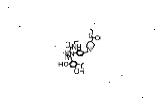 CCNC(=O)c1nnc(-c2cc(C(C)C)c(O)cc2O)n1-c1ccc(CN2CCC(C(=O)OCC)CC2)cc1